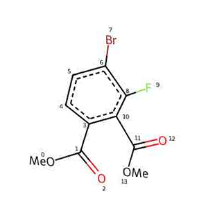 COC(=O)c1ccc(Br)c(F)c1C(=O)OC